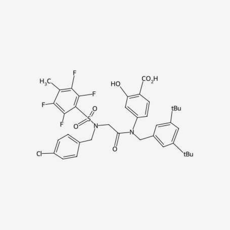 Cc1c(F)c(F)c(S(=O)(=O)N(CC(=O)N(Cc2cc(C(C)(C)C)cc(C(C)(C)C)c2)c2ccc(C(=O)O)c(O)c2)Cc2ccc(Cl)cc2)c(F)c1F